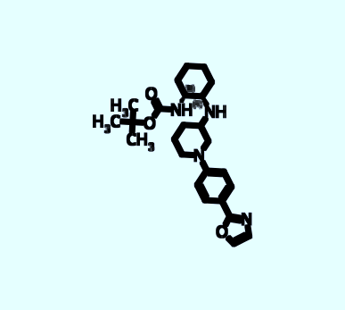 CC(C)(C)OC(=O)N[C@@H]1CCCC[C@H]1NC1CCCN(c2ccc(-c3ncco3)cc2)C1